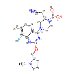 CN1CCCC1COc1nc(N2CCN(C(=O)O)C(CC#N)C2)c2ccc(Br)c(F)c2n1